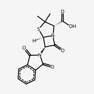 CC1(C)S[C@@H]2[C@H](N3C(=O)c4ccccc4C3=O)C(=O)N2[C@H]1C(=O)O